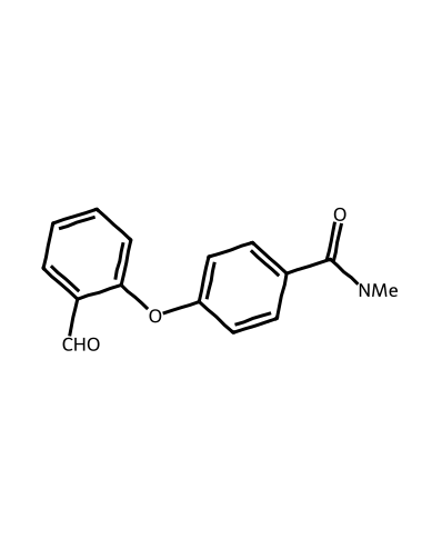 CNC(=O)c1ccc(Oc2ccccc2C=O)cc1